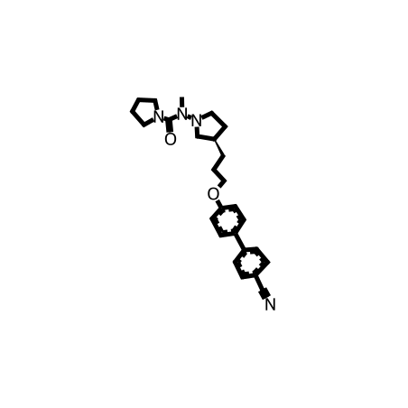 CN(C(=O)N1CCCC1)N1CC[C@@H](CCCOc2ccc(-c3ccc(C#N)cc3)cc2)C1